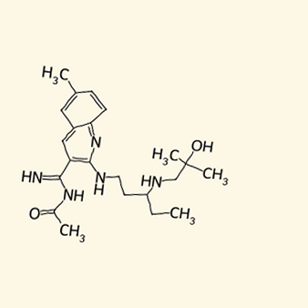 CCC(CCNc1nc2ccc(C)cc2cc1C(=N)NC(C)=O)NCC(C)(C)O